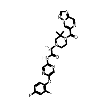 C[C@@H](C(=O)Nc1cnc(Oc2ccc(F)cc2F)cn1)N1CCN(C(=O)c2cn3ncnc3cn2)C(C)(C)C1